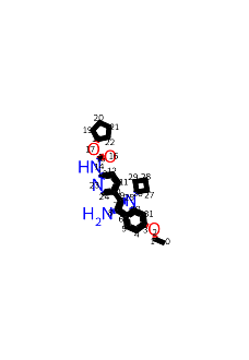 CCOc1ccc2c(N)c(-c3ccc(NC(=O)OC4CCCC4)nc3)n(C3CCC3)c2c1